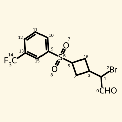 O=CC(Br)C1CC(S(=O)(=O)c2cccc(C(F)(F)F)c2)C1